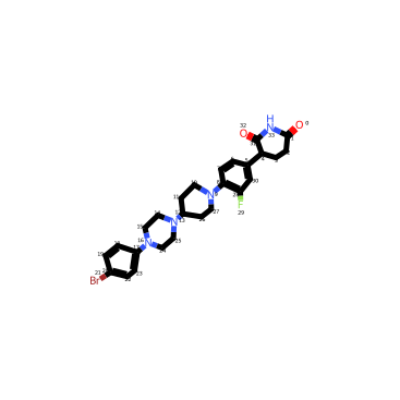 O=C1CCC(c2ccc(N3CCC(N4CCN(c5ccc(Br)cc5)CC4)CC3)c(F)c2)C(=O)N1